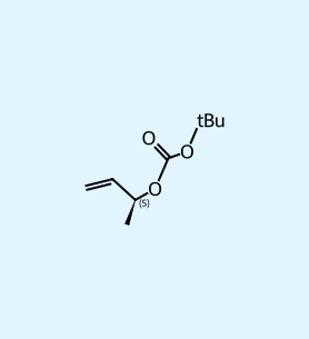 C=C[C@H](C)OC(=O)OC(C)(C)C